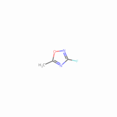 Cc1nc(F)no1